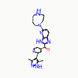 Cc1n[nH]c(C)c1-c1cc(C(=O)c2nc3ccc(N4CCCNCC4)nc3[nH]2)ccn1